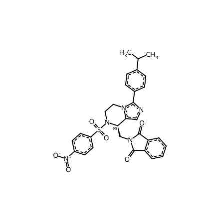 CC(C)c1ccc(-c2ncc3n2CCN(S(=O)(=O)c2ccc([N+](=O)[O-])cc2)[C@@H]3CN2C(=O)c3ccccc3C2=O)cc1